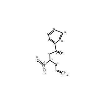 C=CSC(CC(=O)c1ccccc1)[N+](=O)[O-]